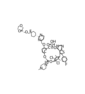 Cc1c(Cl)c2c(Cl)c(C)c1-c1c(-c3ccc(F)cc3)sc3ncnc(c13)O[C@@H](C(=O)O)Cc1cc(ccc1OCc1ccnc([C@H]3CC[C@@](F)(COC[C@H]4COCCO4)CC3)n1)OC[C@@H](CN1CCN(C)CC1)O2